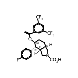 C=C(O[C@H]1CC[C@H]2CN(C(=O)O)C[C@H]2[C@@H]1c1ccc(F)cc1)c1cc(C(F)(F)F)cc(C(F)(F)F)c1